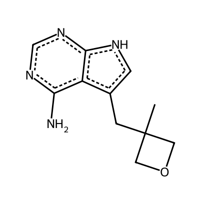 CC1(Cc2c[nH]c3ncnc(N)c23)COC1